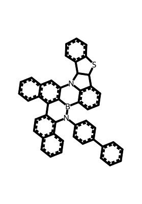 c1ccc(-c2ccc(N3B4c5cccc6c5N(c5cc7ccccc7c(c54)-c4ccc5ccccc5c43)C3c4ccccc4SC63)cc2)cc1